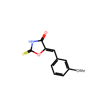 COc1cccc(/C=C2\OC(=S)NC2=O)c1